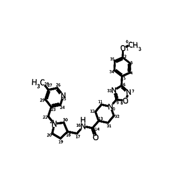 COc1ccc(-c2noc(N3CCC(C(=O)NCC4CCN(Cc5cncc(C)c5)C4)CC3)n2)cc1